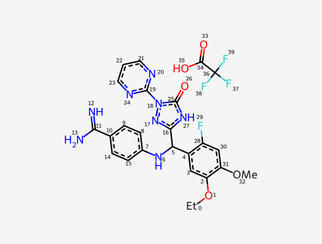 CCOc1cc(C(Nc2ccc(C(=N)N)cc2)c2nn(-c3ncccn3)c(=O)[nH]2)c(F)cc1OC.O=C(O)C(F)(F)F